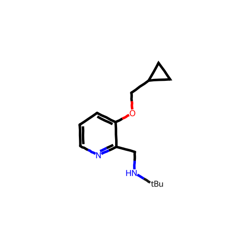 CC(C)(C)NCc1ncccc1OCC1CC1